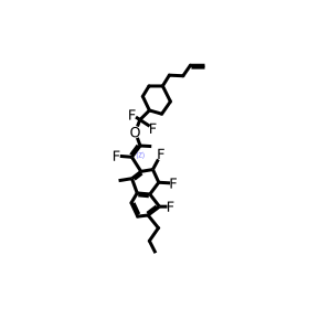 C=CCCC1CCC(C(F)(F)O/C(C)=C(\F)C2=C(C)c3ccc(CCC)c(F)c3C(F)C2F)CC1